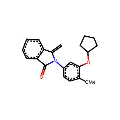 C=C1c2ccccc2C(=O)N1c1ccc(OC)c(OC2CCCC2)c1